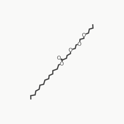 CCCCCCCCCCCCCCOC(=O)CCCOCCOCCOCCCC